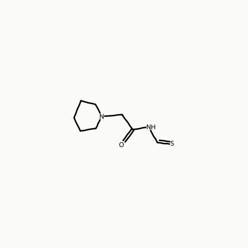 O=C(CN1CCCCC1)NC=S